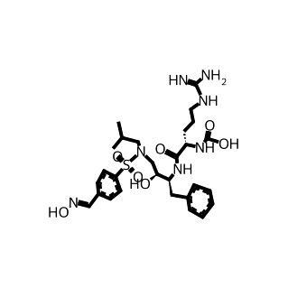 CC(C)CN(C[C@H](O)[C@H](Cc1ccccc1)NC(=O)[C@H](CCCNC(=N)N)NC(=O)O)S(=O)(=O)c1ccc(C=NO)cc1